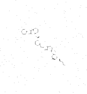 C=C(C[C@@]12C[C@@H](C)C[C@@H](O1)[C@H]1O[C@]3(C[C@H]1O2)NC[C@H](C)C[C@@H]3C)[C@H]1O[C@@](O)([C@H](O)[C@@H]2C[C@H]3O[C@@]4(CC[C@]5(CC(C)=C[C@@H](/C=C/CCC(=O)O)O5)O4)[C@H](C)C[C@H]3O2)CC[C@@H]1C